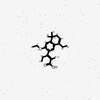 CCOc1cc2c(cc1C(CC)=C(F)C(=O)O)C(CC)=CCC2(C)C